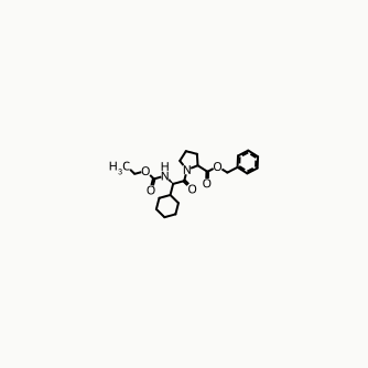 CCOC(=O)N[C@@H](C(=O)N1CCCC1C(=O)OCc1ccccc1)C1CCCCC1